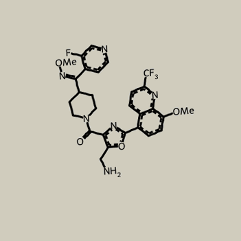 CON=C(c1ccncc1F)C1CCN(C(=O)c2nc(-c3ccc(OC)c4nc(C(F)(F)F)ccc34)oc2CN)CC1